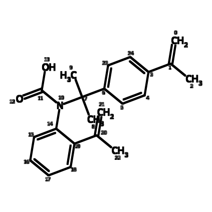 C=C(C)c1ccc(C(C)(C)N(C(=O)O)c2ccccc2C(=C)C)cc1